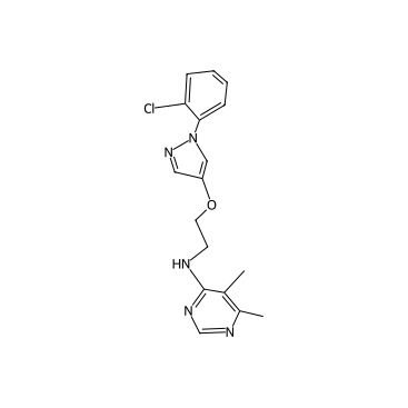 Cc1ncnc(NCCOc2cnn(-c3ccccc3Cl)c2)c1C